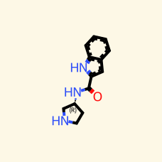 O=C(N[C@@H]1CCNC1)c1cc2ccccc2[nH]1